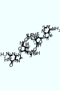 Nc1nc2c(ncn2[C@@H]2O[C@@H]3COP(=S)(S)O[C@H]4[C@H](F)[C@H](n5cnc6c(N)ncnc65)O[C@@H]4COP(O)(=S)O[C@@H]2[C@@H]3F)c(=O)[nH]1